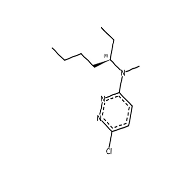 CCCC[C@@H](CC)N(C)c1ccc(Cl)nn1